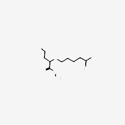 CCCC(SCCCCC(F)F)C(=O)OC